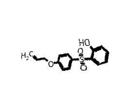 C=CCOc1ccc(S(=O)(=O)c2ccccc2O)cc1